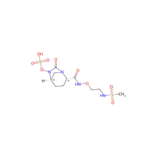 CS(=O)(=O)NCCONC(=O)[C@@H]1CC[C@@H]2CN1C(=O)N2OS(=O)(=O)O